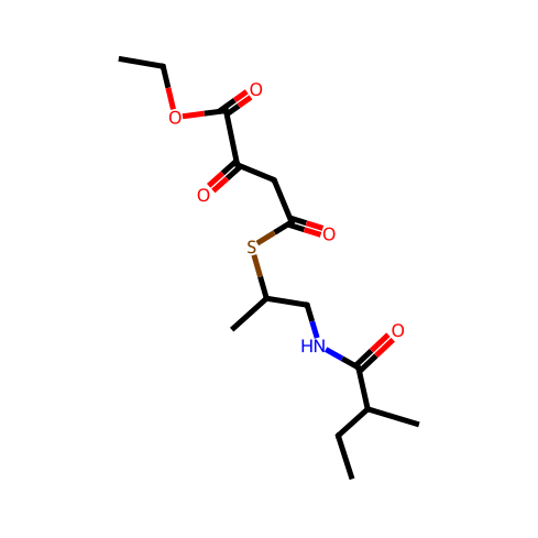 CCOC(=O)C(=O)CC(=O)SC(C)CNC(=O)C(C)CC